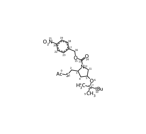 CC(=O)SCC1CC(O[Si](C)(C)C(C)(C)C)CN1C(=O)OCc1ccc([N+](=O)[O-])cc1